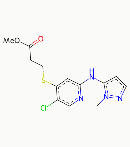 COC(=O)CCSc1cc(Nc2ccnn2C)ncc1Cl